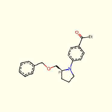 CCC(=O)c1ccc(N2CCC[C@H]2COCc2ccccc2)cc1